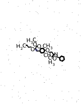 C=CCCO/C(=C/c1cc(C)c(OCCc2nc(-c3ccccc3)oc2C)c(C)c1)C(=O)OCC